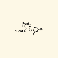 CCCCCOC(CC)C(OCCCCC)Oc1ccc(Br)cc1F